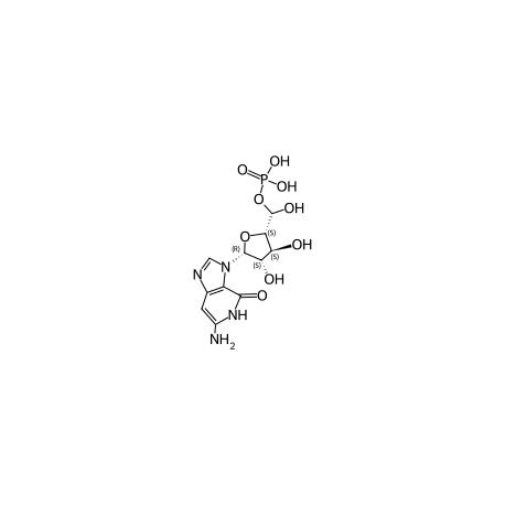 Nc1cc2ncn([C@@H]3O[C@H](C(O)OP(=O)(O)O)[C@@H](O)[C@@H]3O)c2c(=O)[nH]1